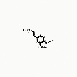 COc1cc(/C=C/C(=O)O)ccc1OC(C)C